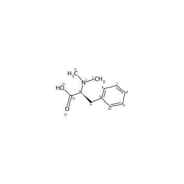 CN(C)[C@@H](Cc1ccccc1)C(=O)O